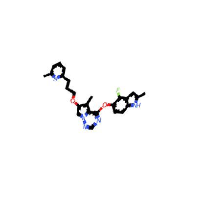 Cc1cccc(CCCOc2cn3ncnc(Oc4ccc5[nH]c(C)cc5c4F)c3c2C)n1